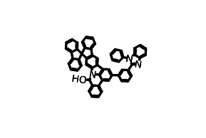 OC1c2ccccc2-c2cc(-c3cccc(-c4nc5ccccc5n4-c4ccccc4)c3)cc3c4cc5c(cc4n1c23)C1(c2ccccc2-c2ccccc21)c1ccccc1-5